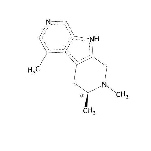 Cc1cncc2[nH]c3c(c12)C[C@H](C)N(C)C3